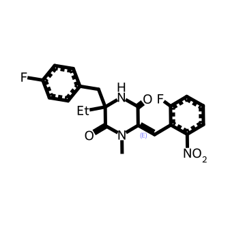 CCC1(Cc2ccc(F)cc2)NC(=O)/C(=C\c2c(F)cccc2[N+](=O)[O-])N(C)C1=O